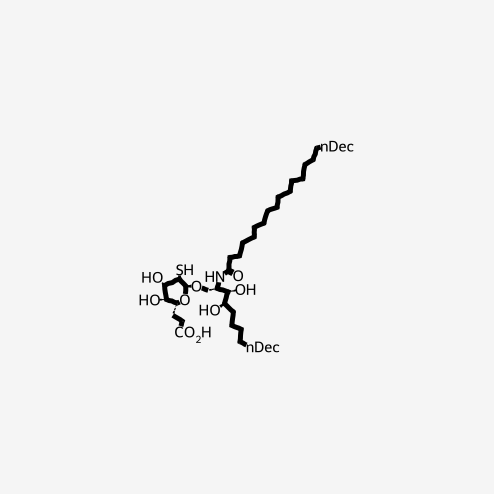 CCCCCCCCCCCCCCCCCCCCCCCCCC(=O)N[C@@H](CO[C@H]1O[C@H](CCC(=O)O)[C@H](O)[C@H](O)[C@H]1S)[C@H](O)[C@H](O)CCCCCCCCCCCCCC